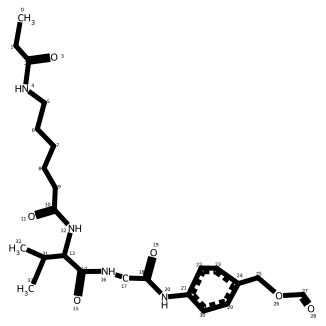 CCC(=O)NCCCCCC(=O)NC(C(=O)NCC(=O)Nc1ccc(COC=O)cc1)C(C)C